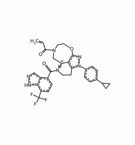 C=CC(=O)N1CCOc2nn(-c3ccc(C4CC4)cc3)c3c2[C@H](C1)N(C(=O)c1ccc(C(F)(F)F)c2[nH]ncc12)CC3